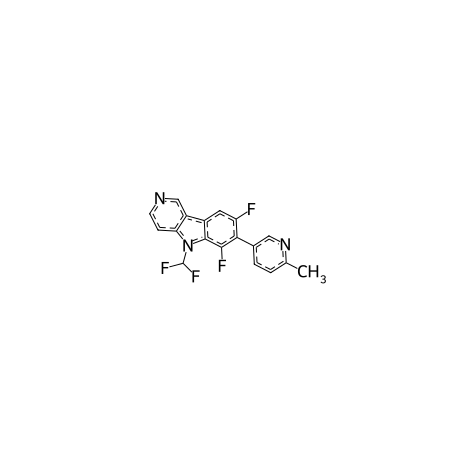 Cc1ccc(-c2c(F)cc3c4cnccc4n(C(F)F)c3c2F)cn1